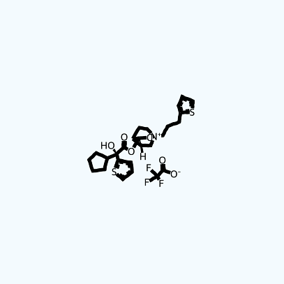 O=C(O[C@H]1C[N+]2(CCCc3cccs3)CCC1CC2)[C@](O)(c1cccs1)C1CCCC1.O=C([O-])C(F)(F)F